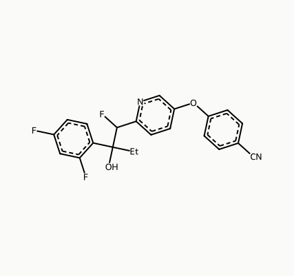 CCC(O)(c1ccc(F)cc1F)C(F)c1ccc(Oc2ccc(C#N)cc2)cn1